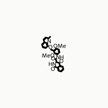 COc1ccc(NC(=O)C2NC(=O)c3ccccc3C2=O)c(OC)c1COc1cccc2ccc(C)nc12